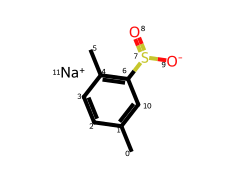 Cc1ccc(C)c(S(=O)[O-])c1.[Na+]